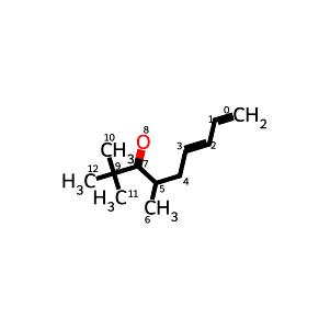 C=C/C=C/CC(C)C(=O)C(C)(C)C